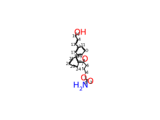 NC(=O)OCCCC(Oc1ccc(C=CCO)cc1)c1ccccc1